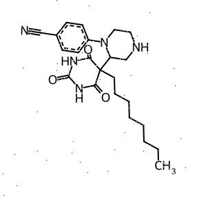 CCCCCCCCC1(C2CNCCN2c2ccc(C#N)cc2)C(=O)NC(=O)NC1=O